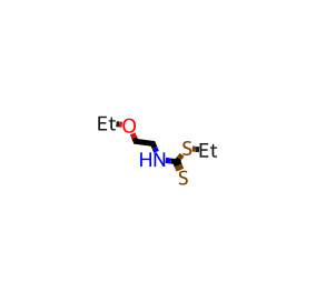 CCOCCNC(=S)SCC